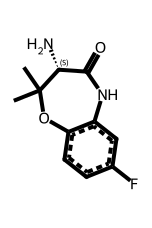 CC1(C)Oc2ccc(F)cc2NC(=O)[C@H]1N